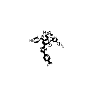 CCOc1ncc(C)cc1-n1c(C=C(C)C)c(C(=O)N2CCNCC2)cc(-c2nc(-c3ccc(C(F)F)cn3)cs2)c1=O